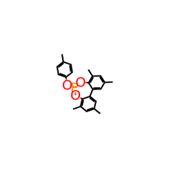 Cc1ccc(Op2oc3c(C)cc(C)cc3c3cc(C)cc(C)c3o2)cc1